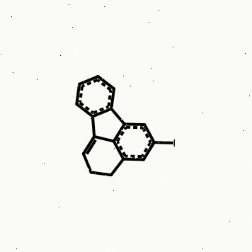 Ic1cc2c3c(c1)-c1ccccc1C3=CCC2